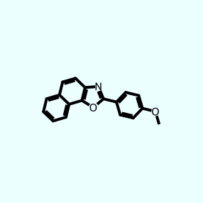 COc1ccc(-c2nc3ccc4ccccc4c3o2)cc1